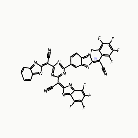 N#CC(=C1N=c2ccccc2=N1)c1nc(C(C#N)=C2N=c3c(F)c(F)c(F)c(F)c3=N2)nc(-c2ccc3c(c2)=N/C(=C(\C#N)c2c(F)c(F)c(F)c(F)c2F)N=3)n1